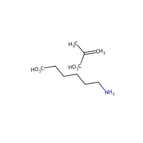 C=C(C)C(=O)O.NCCCCCC(=O)O